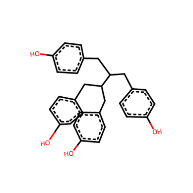 Oc1ccc(CC(Cc2ccc(O)cc2)C(Cc2ccc(O)cc2)Cc2ccc(O)cc2)cc1